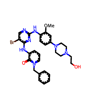 COc1cc(N2CCN(CCO)CC2)ccc1Nc1ncc(Br)c(Nc2cccn(Cc3ccccc3)c2=O)n1